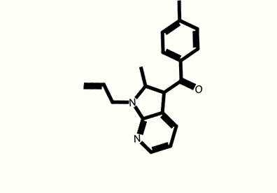 C=CCN1c2ncccc2C(C(=O)c2ccc(C)cc2)C1C